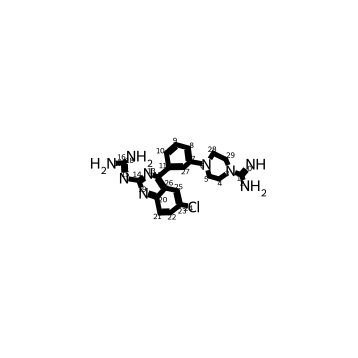 N=C(N)N1CCN(c2cccc(-c3nc(N=C(N)N)nc4ccc(Cl)cc34)c2)CC1